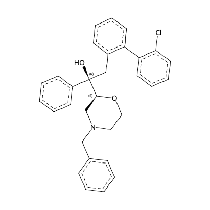 O[C@](Cc1ccccc1-c1ccccc1Cl)(c1ccccc1)[C@@H]1CN(Cc2ccccc2)CCO1